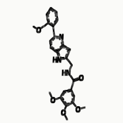 COc1ccccc1-c1ccc2[nH]c(CNC(=O)c3cc(OC)c(OC)c(OC)c3)cc2n1